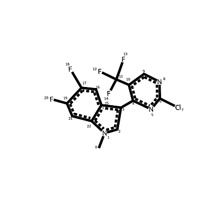 Cn1cc(-c2nc(Cl)ncc2C(F)(F)F)c2cc(F)c(F)cc21